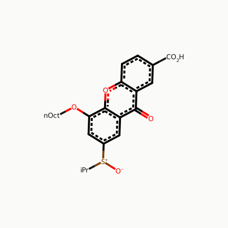 CCCCCCCCOc1cc([S+]([O-])C(C)C)cc2c(=O)c3cc(C(=O)O)ccc3oc12